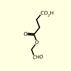 O=CCOC(=O)CCC(=O)O